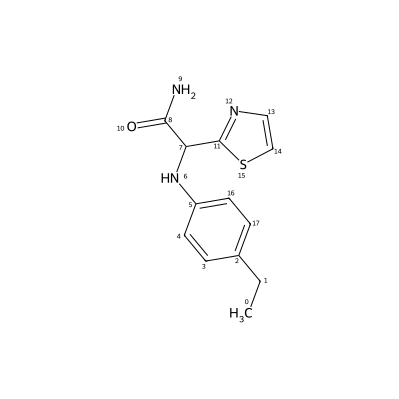 CCc1ccc(NC(C(N)=O)c2nccs2)cc1